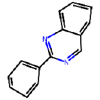 c1ccc(-c2ncc3ccccc3n2)cc1